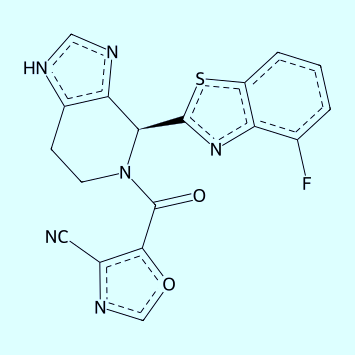 N#Cc1ncoc1C(=O)N1CCc2[nH]cnc2[C@H]1c1nc2c(F)cccc2s1